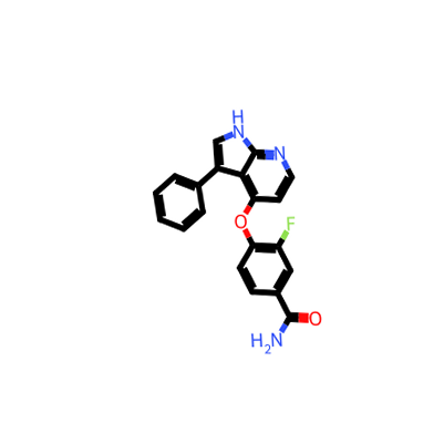 NC(=O)c1ccc(Oc2ccnc3[nH]cc(-c4ccccc4)c23)c(F)c1